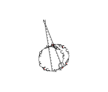 c1cc2ccc1CSCc1ccc(cc1)-c1nc3nc(n1)-c1ccc(cc1)CSCc1ccc(cc1)-c1nc-2nc(n1)-c1ccc(cc1)CSCc1ccc-3cc1